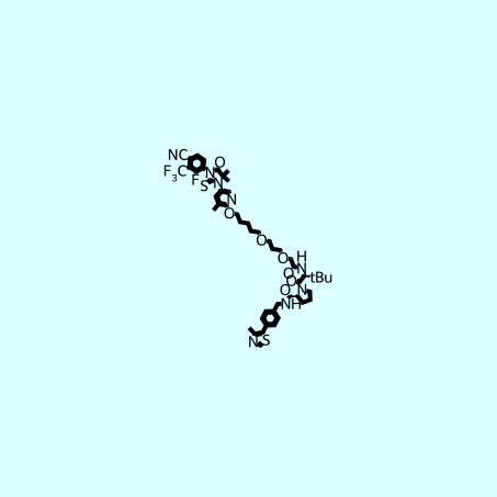 Cc1cc(N2C(=S)N(c3ccc(C#N)c(C(F)(F)F)c3F)C(=O)C2(C)C)cnc1OCCCCCOCCCOCC(=O)N[C@H](C(=O)N1CCC[C@H]1C(=O)NCc1ccc(-c2scnc2C)cc1)C(C)(C)C